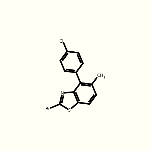 Cc1ccc2sc(Br)nc2c1-c1ccc(Cl)cc1